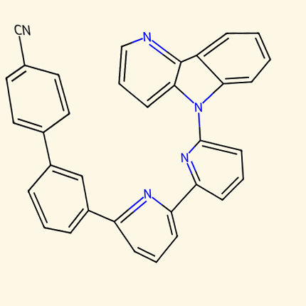 N#Cc1ccc(-c2cccc(-c3cccc(-c4cccc(-n5c6ccccc6c6ncccc65)n4)n3)c2)cc1